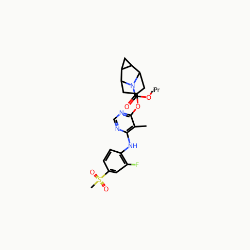 Cc1c(Nc2ccc(S(C)(=O)=O)cc2F)ncnc1OC1CC2C3CC3C(C1)N2C(=O)OC(C)C